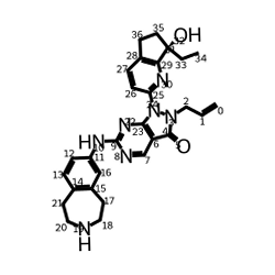 C=CCn1c(=O)c2cnc(Nc3ccc4c(c3)CCNCC4)nc2n1-c1ccc2c(n1)[C@@](O)(CC)CC2